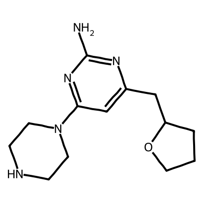 Nc1nc(CC2CCCO2)cc(N2CCNCC2)n1